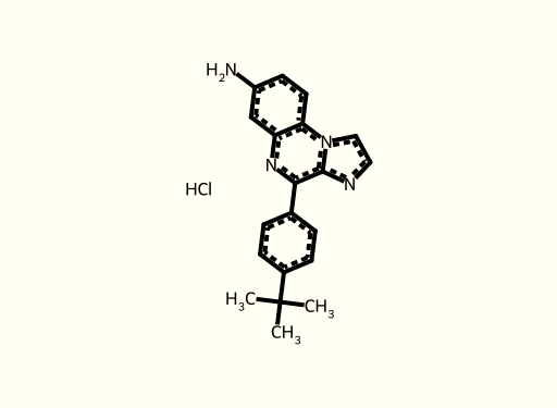 CC(C)(C)c1ccc(-c2nc3cc(N)ccc3n3ccnc23)cc1.Cl